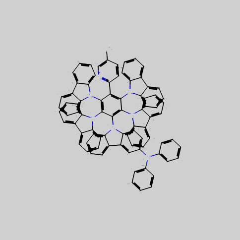 N#Cc1ccc(-c2c(-n3c4ccccc4c4ccccc43)c(-n3c4ccccc4c4ccccc43)c(-n3c4ccccc4c4cc(N(c5ccccc5)c5ccccc5)ccc43)c(-n3c4ccccc4c4ccccc43)c2-n2c3ccccc3c3ccccc32)nc1